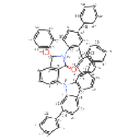 O=C1c2c(cccc2-n2c3cc(-c4ccccc4)ccc3c3ccc(-c4ccccc4)cc32)C(O)N1c1c(-c2ccccc2)cc(-c2ccccc2)cc1-c1ccccc1